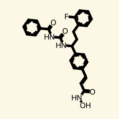 O=C(C=Cc1ccc(C(CCc2ccccc2F)NC(=O)NC(=O)c2ccccc2)cc1)NO